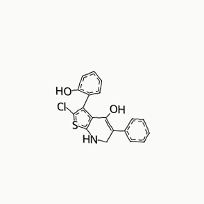 OC1=C(c2ccccc2)CNc2sc(Cl)c(-c3ccccc3O)c21